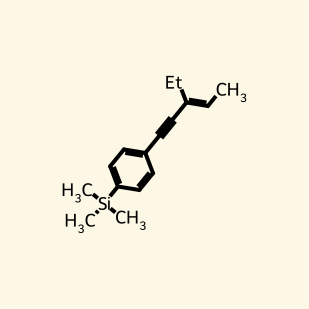 C/C=C(/C#Cc1ccc([Si](C)(C)C)cc1)CC